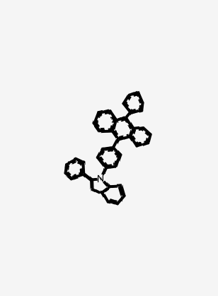 C1=CC2CC(c3ccccc3)N(c3ccc(-c4c5ccccc5c(-c5ccccc5)c5ccccc45)cc3)C2C=C1